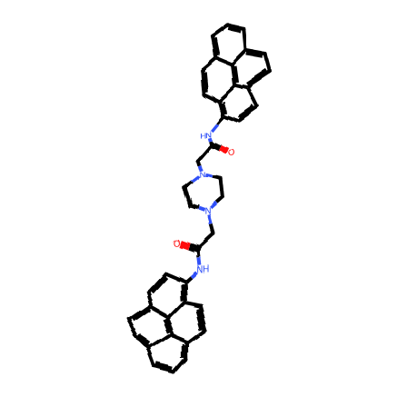 O=C(CN1CCN(CC(=O)Nc2ccc3ccc4cccc5ccc2c3c45)CC1)Nc1ccc2ccc3cccc4ccc1c2c34